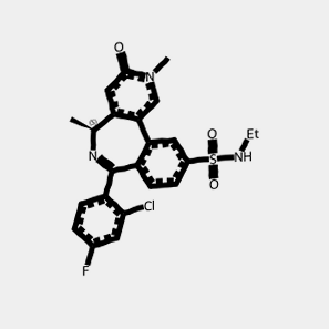 CCNS(=O)(=O)c1ccc2c(c1)-c1cn(C)c(=O)cc1[C@H](C)N=C2c1ccc(F)cc1Cl